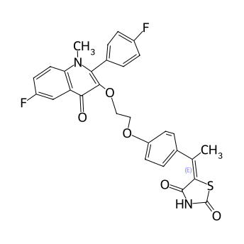 C/C(=C1\SC(=O)NC1=O)c1ccc(OCCOc2c(-c3ccc(F)cc3)n(C)c3ccc(F)cc3c2=O)cc1